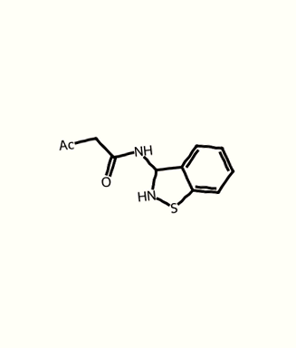 CC(=O)CC(=O)NC1NSc2ccccc21